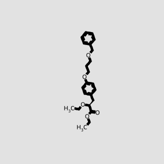 CCOC(=O)[C@H](Cc1ccc(OCCCOCc2ccccc2)cc1)OCC